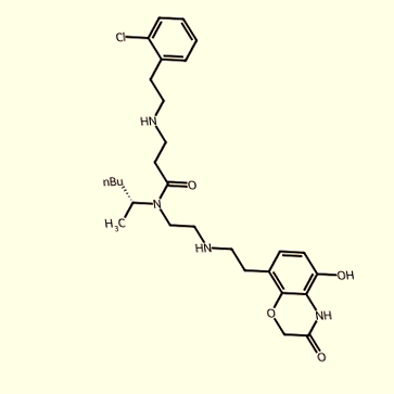 CCCC[C@@H](C)N(CCNCCc1ccc(O)c2c1OCC(=O)N2)C(=O)CCNCCc1ccccc1Cl